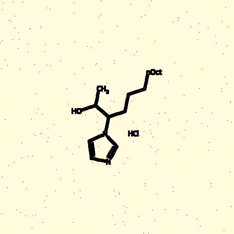 CCCCCCCCCCCC(C(C)O)n1ccnc1.Cl